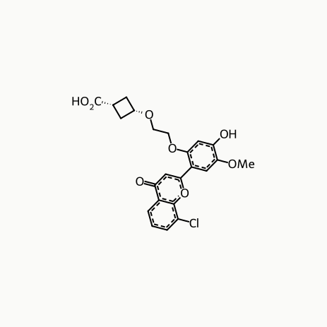 COc1cc(-c2cc(=O)c3cccc(Cl)c3o2)c(OCCO[C@H]2C[C@@H](C(=O)O)C2)cc1O